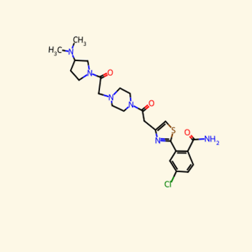 CN(C)C1CCN(C(=O)CN2CCN(C(=O)Cc3csc(-c4cc(Cl)ccc4C(N)=O)n3)CC2)C1